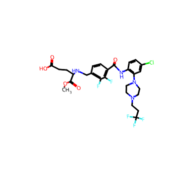 COC(=O)C(CCC(=O)O)NCc1ccc(C(=O)Nc2ccc(Cl)cc2N2CCN(CCC(F)(F)F)CC2)c(F)c1F